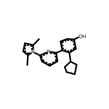 Cc1ccc(C)n1-c1cccc(-c2ccc(O)cc2C2CCCC2)n1